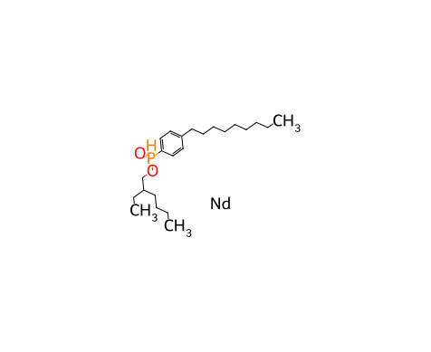 CCCCCCCCCc1ccc([PH](=O)OCC(CC)CCCC)cc1.[Nd]